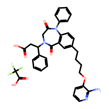 Nc1ncccc1OCCCCc1ccc2c(c1)C(=O)N(C(CC(=O)O)c1ccccc1)CC(=O)N2c1ccccc1.O=C(O)C(F)(F)F